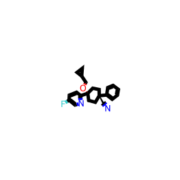 N#C[C@]1(c2ccccc2)CC[C@](OCC2CC2)(c2ccc(F)cn2)CC1